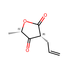 C=CC[C@H]1C(=O)O[C@@H](C)C1=O